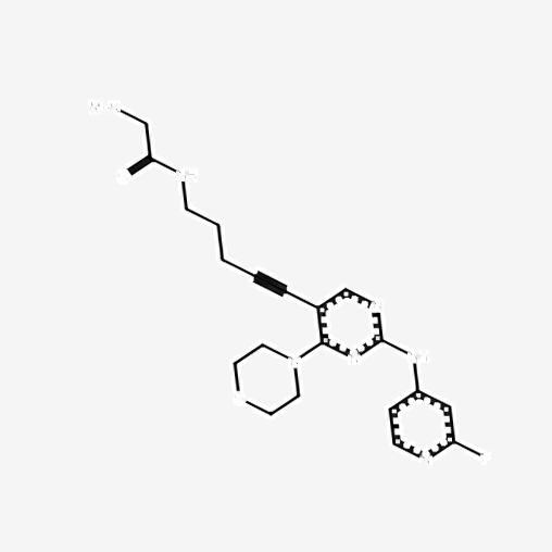 CNCC(=O)NCCCC#Cc1cnc(Nc2ccnc(F)c2)nc1N1CCOCC1